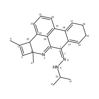 CC1=CC2(C)N=C3/C(=N\NC(C)C)C4=CCCC=C4c4cccc(c43)C12